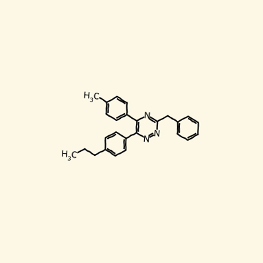 CCCc1ccc(-c2nnc(Cc3ccccc3)nc2-c2ccc(C)cc2)cc1